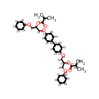 C=C(C)C(=O)OC(COc1ccccc1)COc1ccc(-c2ccc(OCC(COc3ccccc3)OC(=O)C(=C)C)cc2)cc1